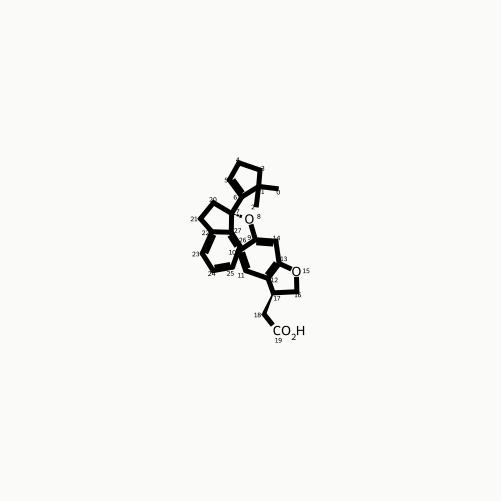 CC1(C)CCC=C1[C@]1(Oc2ccc3c(c2)OC[C@H]3CC(=O)O)CCc2ccccc21